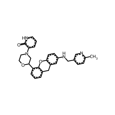 Cc1ccc(CNc2ccc3c(c2)Cc2cccc(C4CN(c5ccc[nH]c5=O)CCO4)c2O3)cn1